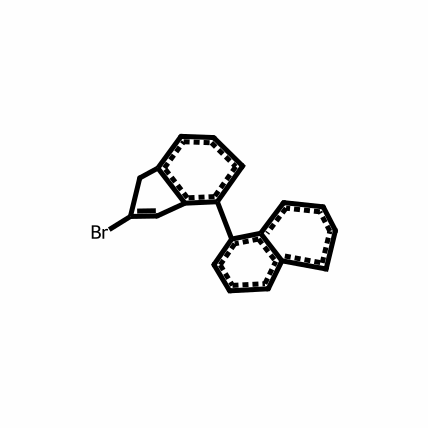 BrC1=Cc2c(cccc2-c2cccc3ccccc23)C1